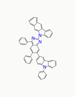 c1ccc(-c2cc3c(-c4ccccc4)nc(-n4c5ccccc5c5cc6ccccc6cc54)nc3cc2-c2ccc3c(c2)c2ccccc2n3-c2ccccc2)cc1